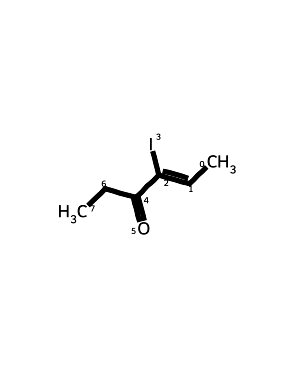 C/C=C(\I)C(=O)CC